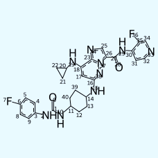 O=C(Nc1ccc(F)cc1)NC1CCC(Nc2cc(NC3CC3)c3ncc(C(=O)Nc4ccncc4F)n3n2)CC1